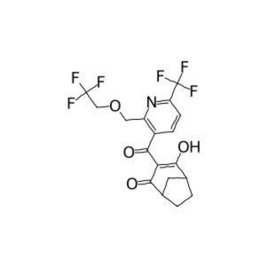 O=C(C1=C(O)C2CCC(C2)C1=O)c1ccc(C(F)(F)F)nc1COCC(F)(F)F